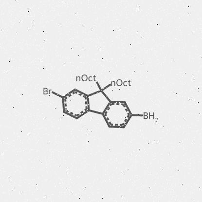 Bc1ccc2c(c1)C(CCCCCCCC)(CCCCCCCC)c1cc(Br)ccc1-2